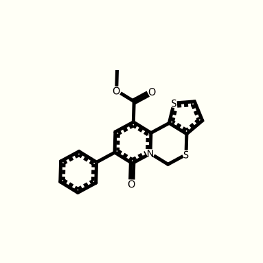 COC(=O)c1cc(-c2ccccc2)c(=O)n2c1-c1sccc1SC2